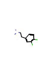 CN(C)C[C@@H](N)c1ccc(Cl)c(Cl)c1